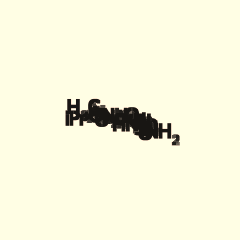 CC(C)CCOC(C)CC(=O)NCc1ccc(C(=O)Nc2nnc(S(N)(=O)=O)s2)cc1